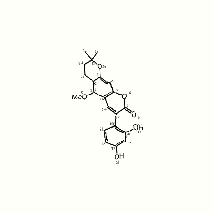 COc1c2c(cc3oc(=O)c(-c4ccc(O)cc4O)cc13)OC(C)(C)CC2